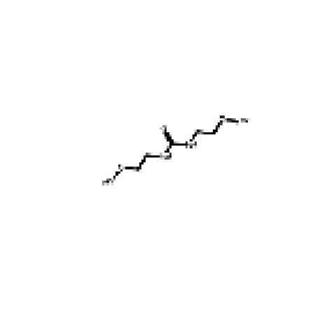 CCCOCCNC(=O)NCCOCCC